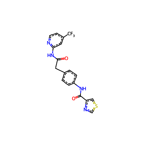 O=C(Cc1ccc(NC(=O)c2cscn2)cc1)Nc1cc(C(F)(F)F)ccn1